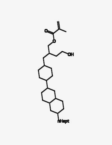 C=C(C)C(=O)OCC(CCO)CC1CCC(C2CCC3CC(CCCCCCC)CCC3C2)CC1